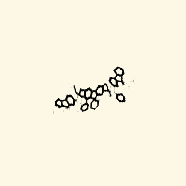 CCCC1(N(c2ccccc2)c2ccc3c(c2)C(C)(C)c2ccccc2-3)Cc2cc3c(cc21)C1(CCCCC1)c1cc2c(cc1-3)CC2(CC)N(c1ccccc1)c1ccc2c(c1)C(C)(C)c1ccccc1-2